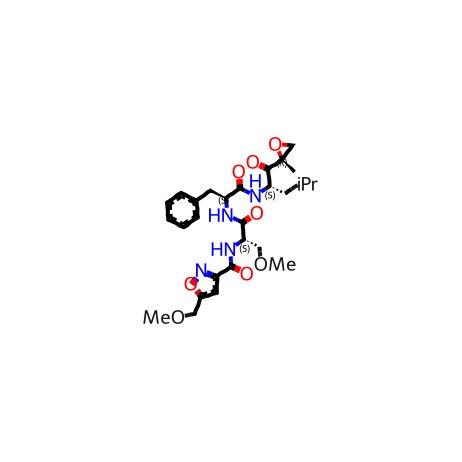 COCc1cc(C(=O)N[C@@H](COC)C(=O)N[C@@H](Cc2ccccc2)C(=O)N[C@@H](CC(C)C)C(=O)[C@@]2(C)CO2)no1